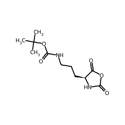 CC(C)(C)OC(=O)NCCC[C@@H]1NC(=O)OC1=O